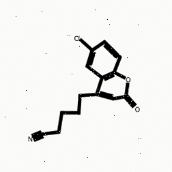 N#CCCCCc1cc(=O)oc2ccc(Cl)cc12